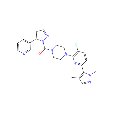 Cc1cnn(C)c1-c1ccc(F)c(N2CCN(C(=O)N3N=CCC3c3cccnc3)CC2)n1